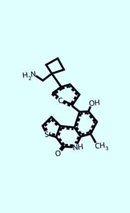 Cc1cc(O)c(-c2ccc(C3(CN)CCC3)cc2)c2c1[nH]c(=O)c1sccc12